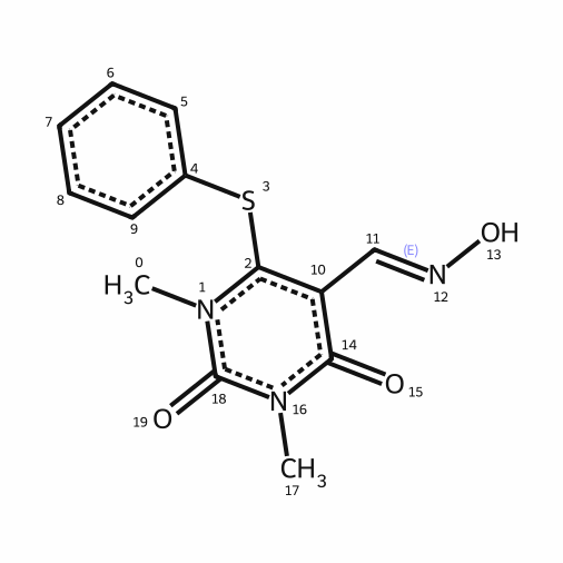 Cn1c(Sc2ccccc2)c(/C=N/O)c(=O)n(C)c1=O